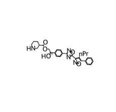 CCCc1c(-c2nc(-c3ccc([C@@H](O)COC(=O)C4CCCNC4)cc3)no2)noc1-c1ccccc1